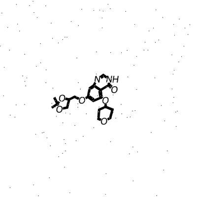 CC1(C)OCC(COc2cc(OC3CCOCC3)c3c(=O)[nH]cnc3c2)O1